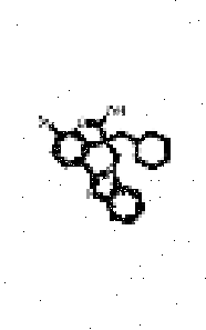 O=C(O)C1(CC2CCCCC2)Cn2c(nc3ccccc32)-c2ccc(Br)cc21